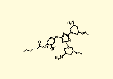 CCCCCC(=O)Nc1ccc(Nc2nc(N3C[C@H](N)C[C@H](N)C3)nc(N3C[C@H](N)C[C@H](N)C3)n2)cc1O